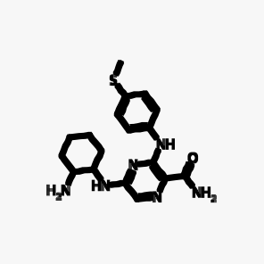 CSc1ccc(Nc2nc(NC3CCCCC3N)cnc2C(N)=O)cc1